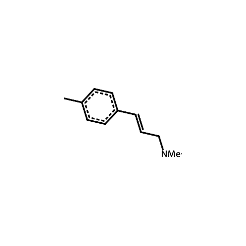 C[N]CC=Cc1ccc(C)cc1